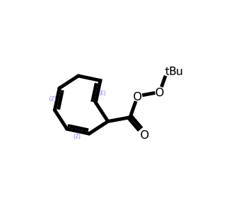 CC(C)(C)OOC(=O)C1/C=C\C=C/C/C=C/1